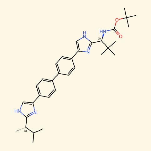 CC(C)[C@H](C)c1nc(-c2ccc(-c3ccc(-c4c[nH]c([C@@H](NC(=O)OC(C)(C)C)C(C)(C)C)n4)cc3)cc2)c[nH]1